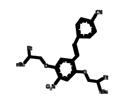 CCCCC(CC)COc1cc([N+](=O)[O-])c(OCC(CC)CCCC)cc1C=Cc1ccc(C#N)cc1